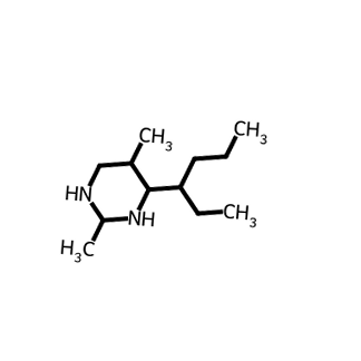 CCCC(CC)C1NC(C)NCC1C